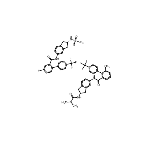 CS(=O)(=O)N[C@H]1Cc2ccc(NC(=O)c3cc(F)ccc3-c3ccc(C(F)(F)F)cc3)cc2C1.Cc1cccc(C(=O)Nc2ccc3c(c2)CC(NC(=O)N(C)C)C3)c1-c1ccc(C(F)(F)F)cc1